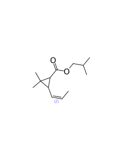 C/C=C\C1C(C(=O)OCC(C)C)C1(C)C